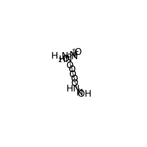 Cc1nn(-c2ccc(C(N)=O)c(NCCCOCCOCCOCCOCCOCCCNC3CC(C)(C)N(O)C(C)(C)C3)c2)c2c1C(=O)CC(C)(C)C2